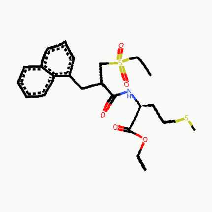 CCOC(=O)[C@H](CCSC)NC(=O)C(Cc1cccc2ccccc12)CS(=O)(=O)CC